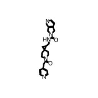 O=C(Cc1ccncc1)N1CCC2(CC1)CC2CNC(=O)N1Cc2ccncc2C1